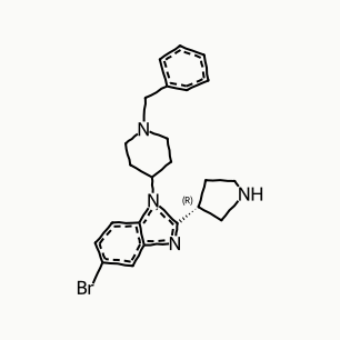 Brc1ccc2c(c1)nc([C@@H]1CCNC1)n2C1CCN(Cc2ccccc2)CC1